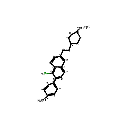 CCCCCCCC1CCC(CCc2ccc3c(F)c(-c4ccc(OC)cc4)ccc3c2)CC1